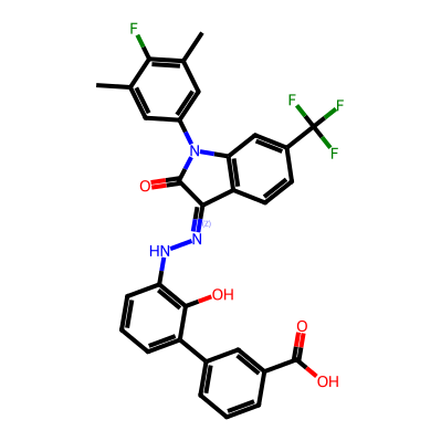 Cc1cc(N2C(=O)/C(=N\Nc3cccc(-c4cccc(C(=O)O)c4)c3O)c3ccc(C(F)(F)F)cc32)cc(C)c1F